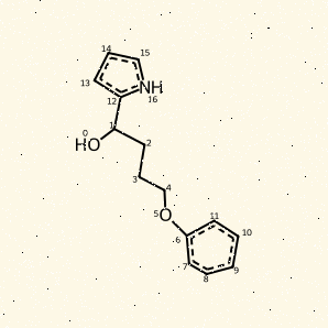 OC(CCCOc1ccccc1)c1ccc[nH]1